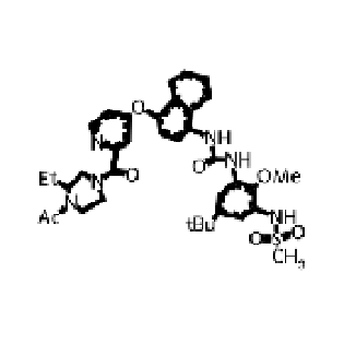 CCC1CN(C(=O)c2cc(Oc3ccc(NC(=O)Nc4cc(C(C)(C)C)cc(NS(C)(=O)=O)c4OC)c4ccccc34)ccn2)CCN1C(C)=O